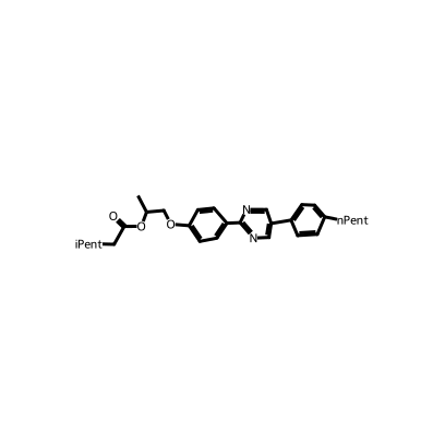 CCCCCc1ccc(-c2cnc(-c3ccc(OCC(C)OC(=O)CC(C)CCC)cc3)nc2)cc1